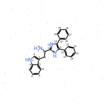 NC(Cc1c[nH]c2ccccc12)c1nc(-c2ccccc2)c(-c2ccccc2)[nH]1